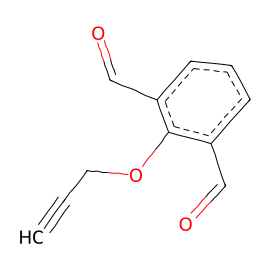 C#CCOc1c(C=O)cccc1C=O